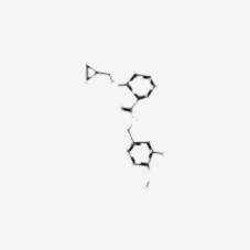 COc1ccc(CNC(=O)c2ccccc2OCC2CC2)cc1F